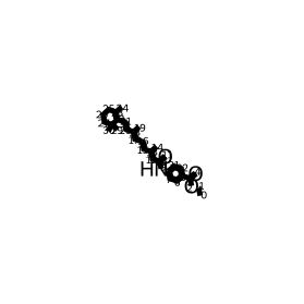 CCOC(=O)c1ccc(NC(=O)/C=C(C)/C=C/C=C(C)/C=C/C2=C(C)CCCC2(C)C)cc1